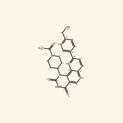 CC(=O)N1CCC(n2c(=O)[nH]c(=O)c3cnc4ccc(-c5ccc(CO)nc5)nc4c32)CC1